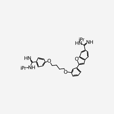 CC(C)NC(=N)c1ccc(OCCCCOc2cccc(-c3cc4ccc(C(=N)NC(C)C)cc4o3)c2)cc1